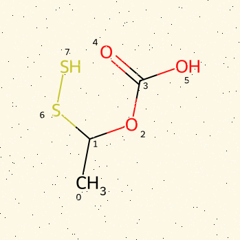 CC(OC(=O)O)SS